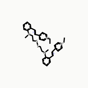 CC[n+]1ccc(/C=C/c2ccccc2N(C)CCSSCCN(C)c2ccccc2/C=C/c2cc[n+](CC)cc2)cc1